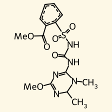 COC(=O)c1ccccc1S(=O)(=O)NC(=O)NC1=NC(OC)=NC(C)N1C